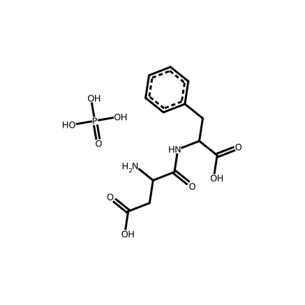 NC(CC(=O)O)C(=O)NC(Cc1ccccc1)C(=O)O.O=P(O)(O)O